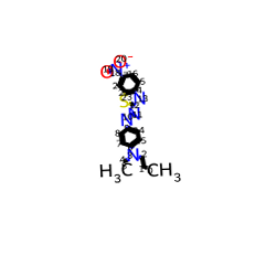 CCCN(CC)c1ccc(N=Nc2nc3ccc([N+](=O)[O-])cc3s2)cc1